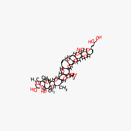 C[C@@H]1C[C@@H]2O[C@H]3[C@H](C[C@H]2O[C@H]2C[C@H]4O[C@H]5C/C=C\C[C@H]6O[C@H]7C=C[C@H]8O[C@H]9[C@H](O)[C@H]%10O[C@@H](/C=C/[C@H](O)CO)C=CC[C@@H]%10O[C@@H]9C[C@@H]8O[C@@H]7C=C[C@@H]6O[C@@H]5C[C@@H](O)[C@]4(C)O[C@@H]2C1)O[C@@H]1[C@@H](C)[C@H](C)[C@@]2(C[C@H](O)CO2)O[C@H]1C(O)[C@@H]3C